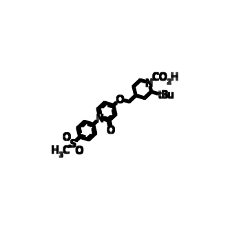 CC(C)(C)C1CC(COc2ccn(-c3ccc(S(C)(=O)=O)cc3)c(=O)c2)CCN1C(=O)O